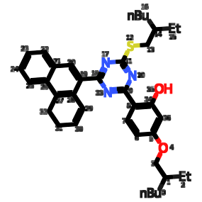 CCCCC(CC)COc1ccc(-c2nc(SCC(CC)CCCC)nc(-c3cc4ccccc4c4c3C=CCC4)n2)c(O)c1